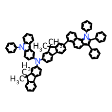 CC1(C)c2ccccc2-c2ccc(N(c3ccc4c(c3)C(C)(C)c3cc(-c5cccc6c5ccc5c(-c7ccccc7)c(-c7ccccc7)n(-c7ccccc7)c56)ccc3-4)c3ccc4c(c3)c3ccccc3n4-c3ccccc3)cc21